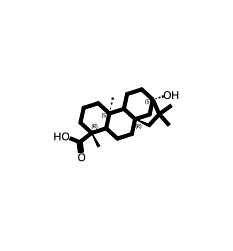 CC1(C)C[C@@]23CCC4[C@@](C)(CCC[C@@]4(C)C(=O)O)C2CC[C@]1(O)C3